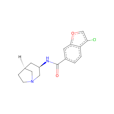 O=C(N[C@@H]1C[C@@H]2CCN(C2)C1)c1ccc2c(Cl)coc2c1